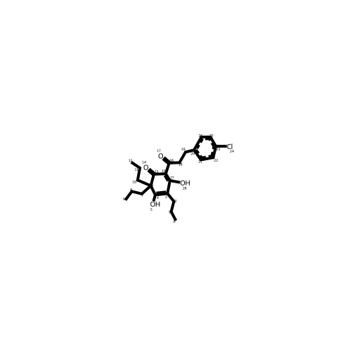 CCCC1=C(O)C(CCC)(CCC)C(=O)C(C(=O)CCc2ccc(Cl)cc2)=C1O